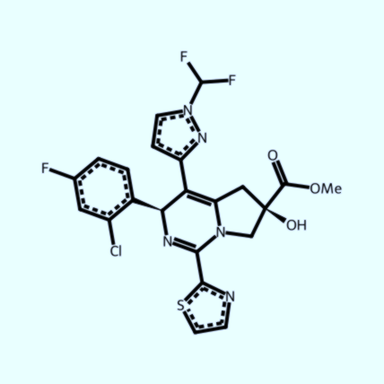 COC(=O)[C@@]1(O)CC2=C(c3ccn(C(F)F)n3)[C@H](c3ccc(F)cc3Cl)N=C(c3nccs3)N2C1